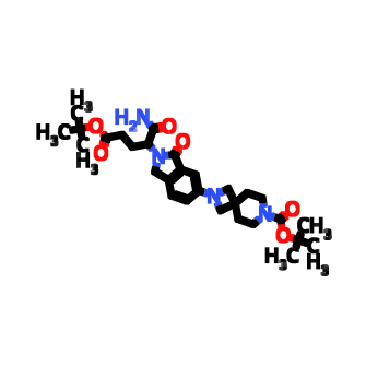 CC(C)(C)OC(=O)CCC(C(N)=O)N1Cc2ccc(N3CC4(CCN(C(=O)OC(C)(C)C)CC4)C3)cc2C1=O